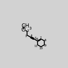 COCCC#CC1=CC[CH]CC1